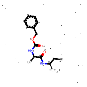 CCC(C)C(NC(=O)OCc1ccccc1)C(=O)N[C@@H](CC(C)C)C(=O)O